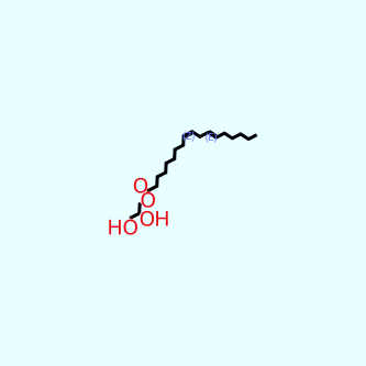 CCCCC/C=C/C/C=C\CCCCCCCC(=O)OCC(O)CO